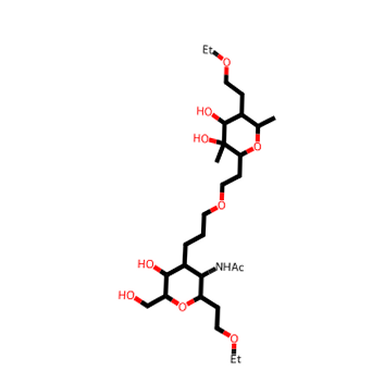 CCOCCC1OC(CO)C(O)C(CCCOCCC2OC(C)C(CCOCC)C(O)C2(C)O)C1NC(C)=O